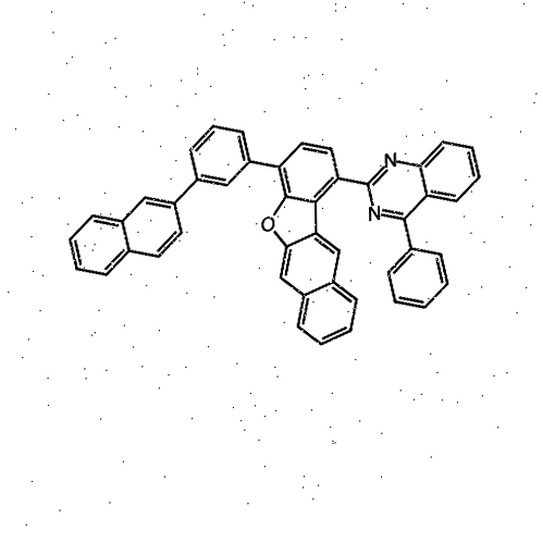 c1ccc(-c2nc(-c3ccc(-c4cccc(-c5ccc6ccccc6c5)c4)c4oc5cc6ccccc6cc5c34)nc3ccccc23)cc1